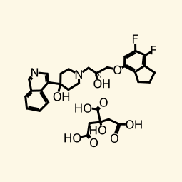 O=C(O)CC(O)(CC(=O)O)C(=O)O.O[C@H](COc1cc(F)c(F)c2c1CCC2)CN1CCC(O)(c2cncc3ccccc23)CC1